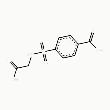 O=C(O)CNS(=O)(=O)c1ccc(C(=O)O)cc1